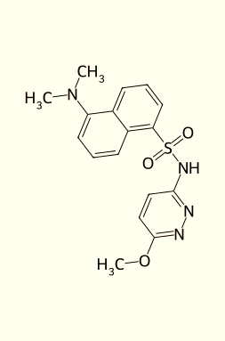 COc1ccc(NS(=O)(=O)c2cccc3c(N(C)C)cccc23)nn1